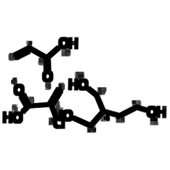 C=C(Cl)C(=O)O.C=CC(=O)O.OCCC(CO)CO